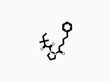 CCC(C)(C)C(=O)C(=O)N1CCCN1C(=O)CCCCc1ccccc1